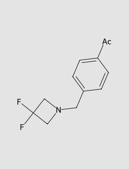 CC(=O)c1ccc(CN2CC(F)(F)C2)cc1